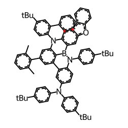 Cc1cccc(C)c1-c1cc2c3c(c1)N(c1ccc(C(C)(C)C)cc1-c1ccccc1)c1cc4c(cc1B3N(c1ccc(C(C)(C)C)cc1)c1ccc(N(c3ccc(C(C)(C)C)cc3)c3ccc(C(C)(C)C)cc3)cc1-2)oc1ccccc14